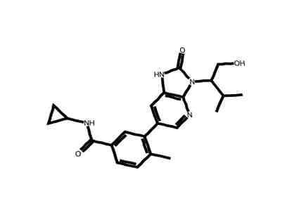 Cc1ccc(C(=O)NC2CC2)cc1-c1cnc2c(c1)[nH]c(=O)n2C(CO)C(C)C